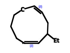 CCC1/C=[C]\CCCC/C=C\C1